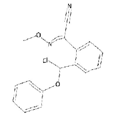 CON=C(C#N)c1ccccc1C(Cl)Oc1ccccc1